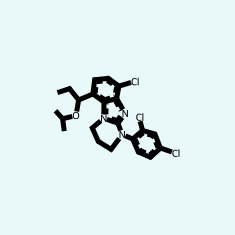 CCC(OC(C)C)c1ccc(Cl)c2nc3n(c12)CCCN3c1ccc(Cl)cc1Cl